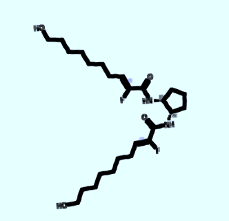 O=C(N[C@H]1CCC[C@H]1NC(=O)/C(F)=C/CCCCCCCO)/C(F)=C/CCCCCCCO